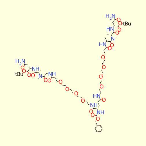 C[C@H](NC(=O)CCOCCOCCOCCOCCNC(=O)CC[C@H](NC(=O)OCc1ccccc1)C(=O)NCCOCCOCCOCCOCCC(=O)N[C@@H](C)C(=O)N(C)[C@@H](C)C(=O)N[C@@H](CC(N)=O)C(=O)OC(C)(C)C)C(=O)N(C)[C@@H](C)C(=O)N[C@@H](CC(N)=O)C(=O)OC(C)(C)C